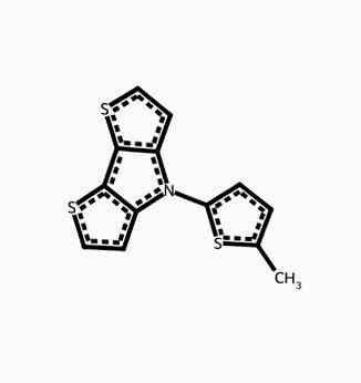 Cc1ccc(-n2c3ccsc3c3sccc32)s1